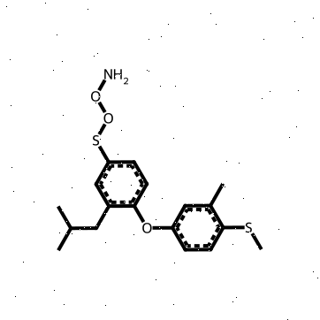 CSc1ccc(Oc2ccc(SOON)cc2CC(C)C)cc1C